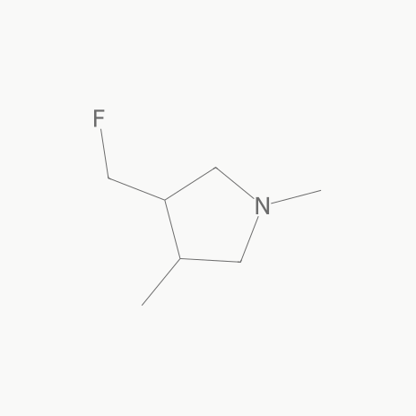 CC1CN(C)CC1CF